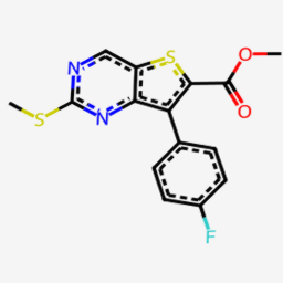 COC(=O)c1sc2cnc(SC)nc2c1-c1ccc(F)cc1